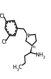 CCCC(N)[C@@H]1CCN(Cc2cc(Cl)cc(Cl)c2)C1